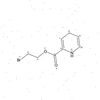 O=C(OCCBr)C1=CCC=CN1